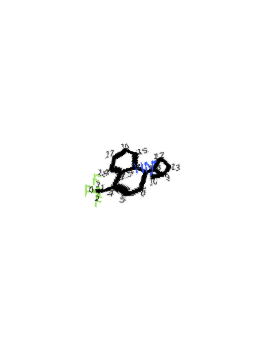 FC(F)(F)c1ccc(C2C3CNC2C3)c2ccccc12